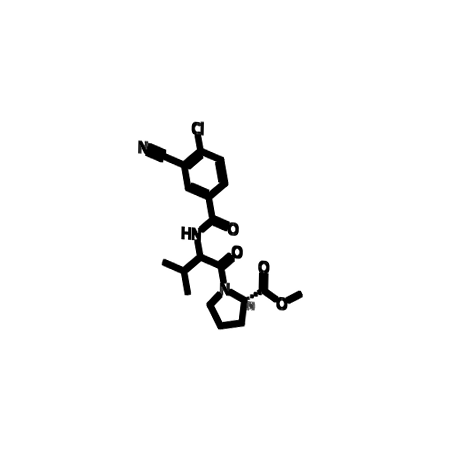 COC(=O)[C@@H]1CCCN1C(=O)C(NC(=O)c1ccc(Cl)c(C#N)c1)C(C)C